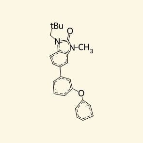 Cn1c(=O)n(CC(C)(C)C)c2ccc(-c3cccc(Oc4ccccc4)c3)cc21